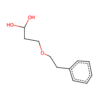 OC(O)CCOCCc1ccccc1